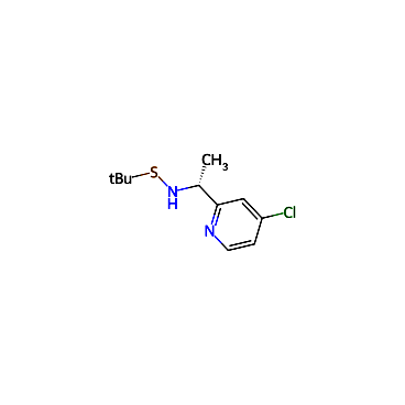 C[C@@H](NSC(C)(C)C)c1cc(Cl)ccn1